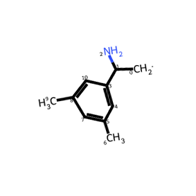 [CH2]C(N)c1cc(C)cc(C)c1